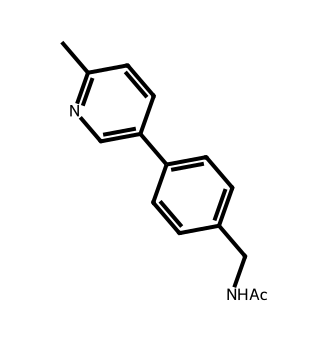 CC(=O)NCc1ccc(-c2ccc(C)nc2)cc1